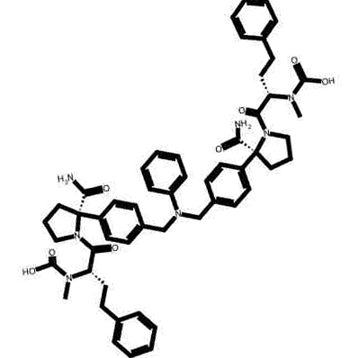 CN(C(=O)O)[C@@H](CCc1ccccc1)C(=O)N1CCC[C@@]1(C(N)=O)c1ccc(CN(Cc2ccc([C@]3(C(N)=O)CCCN3C(=O)[C@H](CCc3ccccc3)N(C)C(=O)O)cc2)c2ccccc2)cc1